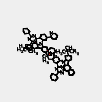 CC(C)(C)c1ccc2c(c1)c1cc(C(C)(C)Cc3cc(-c4nc(-c5ccccc5)nc(-c5ccccc5)n4)c(-n4c5ccccc5c5ccc(C(C)(C)C)cc54)cc3-c3ccccn3)ccc1n2-c1cc(-c2ccccn2)ccc1-c1nc(-c2ccccc2)nc(-c2ccccc2)n1